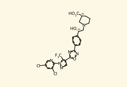 O=C(O)[C@H]1CCCN(C[C@@H](O)c2ccc(-c3noc(-c4cnn(-c5ncc(Cl)cc5Cl)c4C(F)(F)F)n3)cc2)C1